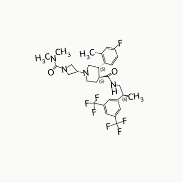 Cc1cc(F)ccc1[C@H]1CN(C2CN(C(=O)N(C)C)C2)CC[C@@H]1C(=O)NC[C@@H](C)c1cc(C(F)(F)F)cc(C(F)(F)F)c1